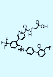 O=C(O)CCNC(=O)c1ccc(-c2cc(C(F)(F)F)ccc2CNc2ccc(-c3cccc(CF)c3Cl)cc2)cn1